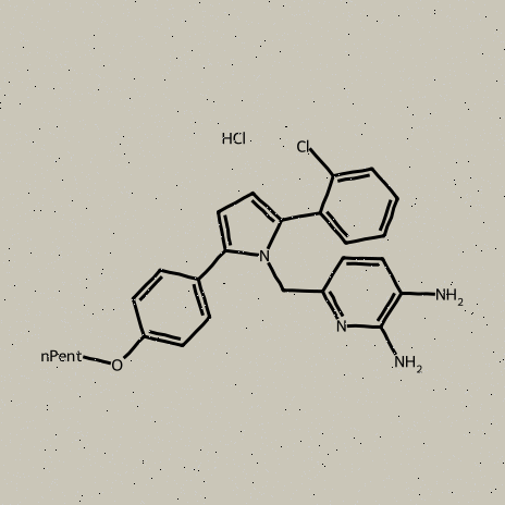 CCCCCOc1ccc(-c2ccc(-c3ccccc3Cl)n2Cc2ccc(N)c(N)n2)cc1.Cl